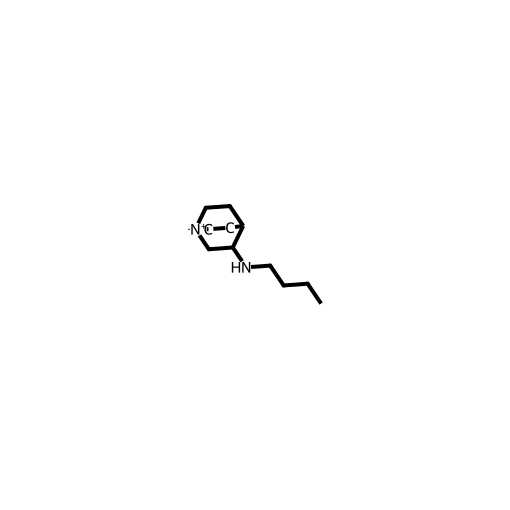 CCCCNC1C[N+]2CCC1CC2